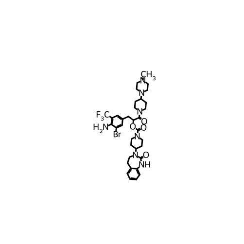 CN1CCN(C2CCN(C(=O)C(Cc3cc(Br)c(N)c(C(F)(F)F)c3)OC(=O)N3CCC(N4CCc5ccccc5NC4=O)CC3)CC2)CC1